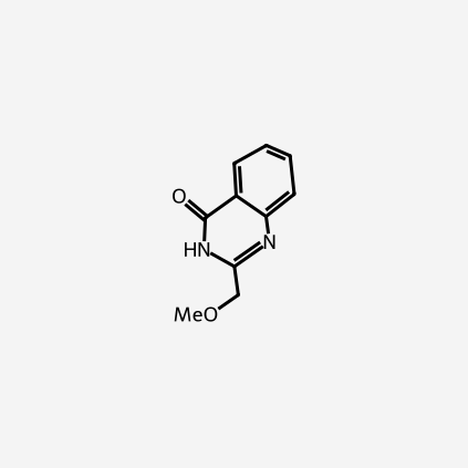 COCc1nc2ccccc2c(=O)[nH]1